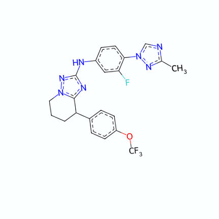 Cc1ncn(-c2ccc(Nc3nc4n(n3)CCCC4c3ccc(OC(F)(F)F)cc3)cc2F)n1